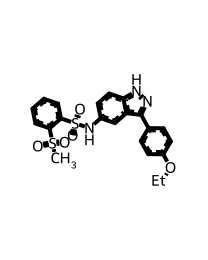 CCOc1ccc(-c2n[nH]c3ccc(NS(=O)(=O)c4ccccc4S(C)(=O)=O)cc23)cc1